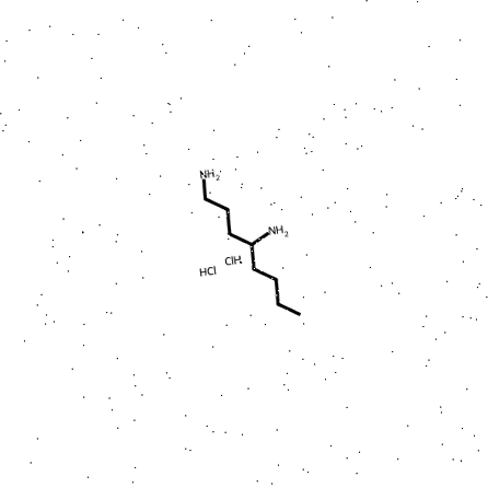 CCCCC(N)CCCN.Cl.Cl